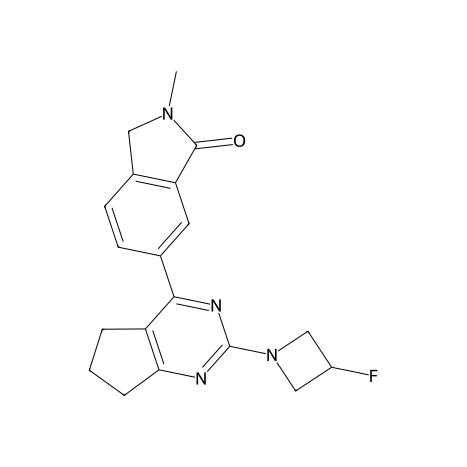 CN1Cc2ccc(-c3nc(N4CC(F)C4)nc4c3CCC4)cc2C1=O